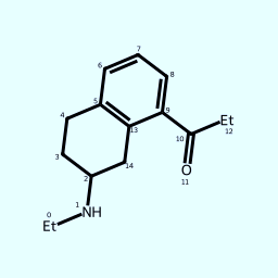 CCNC1CCc2cccc(C(=O)CC)c2C1